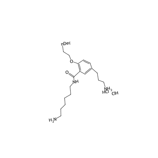 CCCCCCCCCCCCOc1ccc(CCCN)cc1C(=O)NCCCCCCN.Cl.Cl